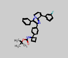 CC(C)(C)OC(=O)NC1(c2ccc(-c3nc4c(-c5cccc(F)c5)cccn4c3C3C=CC=CC3)cc2)CCC1